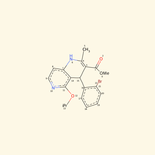 COC(=O)C1=C(C)Nc2ccnc(OC(C)C)c2C1c1ccccc1Br